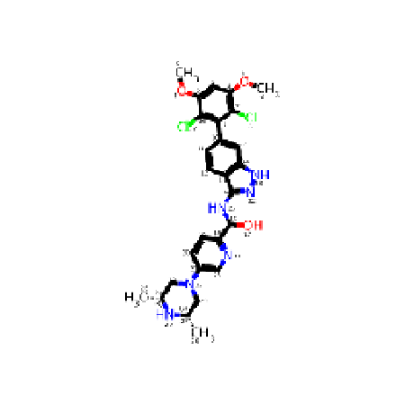 COc1cc(OC)c(Cl)c(-c2ccc3c(NC(O)c4ccc(N5C[C@@H](C)N[C@@H](C)C5)cn4)n[nH]c3c2)c1Cl